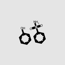 NS(=O)(=O)c1ccccc1.Oc1ccccc1